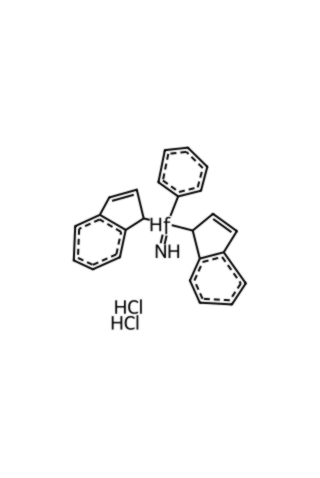 Cl.Cl.[NH]=[Hf]([c]1ccccc1)([CH]1C=Cc2ccccc21)[CH]1C=Cc2ccccc21